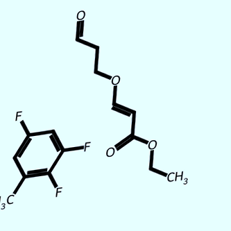 CCOC(=O)C=COCCC=O.Cc1cc(F)cc(F)c1F